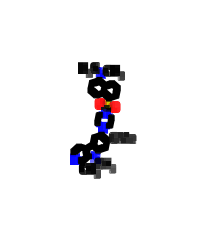 COc1cc2c(cc1N1CCN(S(=O)(=O)c3cccc4c(N(C)C)cccc34)CC1)c1ccnc(C)c1n2C